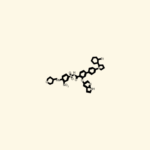 CCC1CCCCC1C1CCCN1c1ccc(-c2ccc(C(=O)NS(=O)(=O)c3ccc(NCC4CCOCC4)c([N+](=O)[O-])c3)c(Oc3cnc4[nH]ccc4c3)c2)cc1